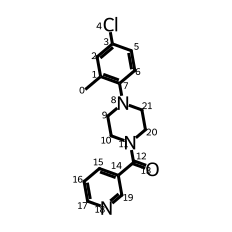 Cc1cc(Cl)ccc1N1CCN(C(=O)c2cccnc2)CC1